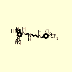 FC(F)(F)Oc1ccc(CNCCCCNCCNc2cc(-n3cnnc3)cc3[nH]ncc23)cc1Cl